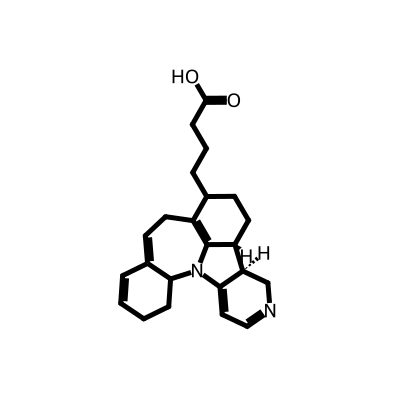 O=C(O)CCCC1CC[C@H]2C3=C1CC=C1C=CCCC1N3C1=CC=NC[C@@H]12